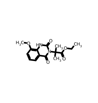 CCOC(=O)C(C)(C)n1c(=O)[nH]c2c(OC)cccc2c1=O